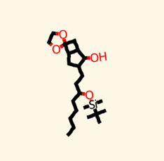 CCCCCC(CCC1CC2C(CC23OCCO3)C1O)O[Si](C)(C)C(C)(C)C